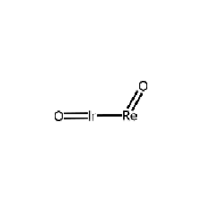 [O]=[Re][Ir]=[O]